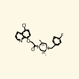 C[C@@H]1CN(C(=O)COc2ccc(Cl)c3cccnc23)[C@@H](C)CN1Cc1ccc(F)cc1